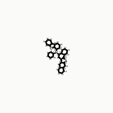 c1ccc(N(c2cc3c4cc5ccccc5cc4sc3c3ccccc23)c2cccc3c2oc2ccccc23)cc1